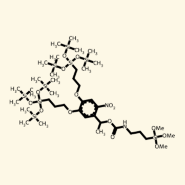 CO[Si](CCCNC(=O)OC(C)c1cc(OCCC[Si](O[Si](C)(C)C)(O[Si](C)(C)C)O[Si](C)(C)C)c(OCCC[Si](O[Si](C)(C)C)(O[Si](C)(C)C)O[Si](C)(C)C)cc1[N+](=O)[O-])(OC)OC